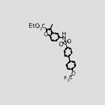 CCOC(=O)c1oc2ccc(NS(=O)(=O)c3ccc(-c4ccc(OC(F)(F)F)cc4)cc3)cc2c1C